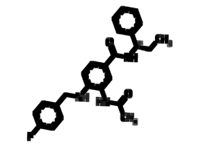 CC[C@@H](NC(=O)c1ccc(NCc2ccc(F)cc2)c(NC(C)=O)c1)c1ccccc1